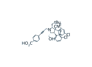 CC(C)(C)C[C@@H]1N(CC#Cc2ccc(C(=O)O)cc2)[C@@H](CO)[C@H](c2cccc(Cl)c2F)[C@@]1(C#N)c1ccc(Cl)cc1F